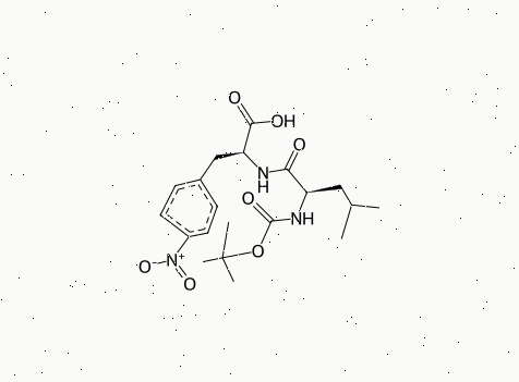 CC(C)C[C@@H](NC(=O)OC(C)(C)C)C(=O)N[C@@H](Cc1ccc([N+](=O)[O-])cc1)C(=O)O